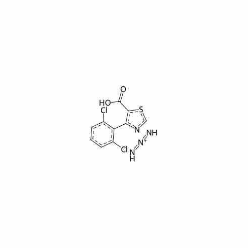 N=[N+]=N.O=C(O)c1scnc1-c1c(Cl)cccc1Cl